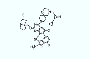 N#Cc1c(N)sc2c(F)ccc(-c3c(Cl)cc4c(N5CCC6(CC5)CN(CC5N[C@H]5C5CC5)CCO6)nc(OC[C@@]56CCCN5C[C@H](F)C6)nc4c3F)c12